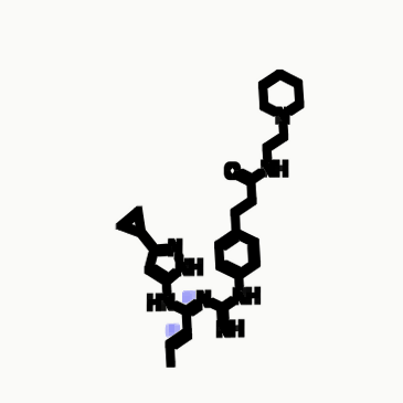 C/C=C/C(=N\C(=N)Nc1ccc(CCC(=O)NCCN2CCCCC2)cc1)Nc1cc(C2CC2)n[nH]1